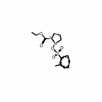 CCOC(=O)[C@H]1CCCN1OS(=O)(=O)c1ccccc1C